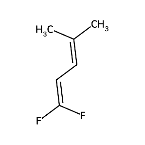 CC(C)=CC=C(F)F